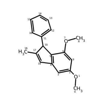 COc1cc2c(c(OC)c1)C(c1ccccc1)C(C)=C2